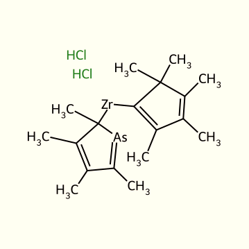 CC1=[As][C](C)([Zr][C]2=C(C)C(C)=C(C)C2(C)C)C(C)=C1C.Cl.Cl